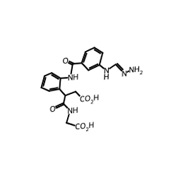 NN=CNc1cccc(C(=O)Nc2ccccc2C(CC(=O)O)C(=O)NCC(=O)O)c1